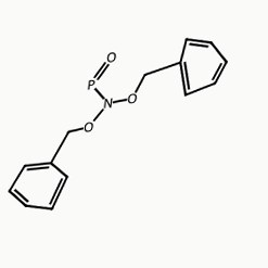 O=PN(OCc1ccccc1)OCc1ccccc1